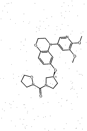 COc1cc(N2CCOc3ccc(O[C@H]4CCN(C(=O)N5CCCO5)C4)cc32)cnc1OC